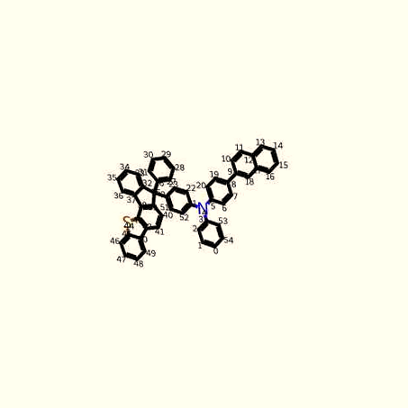 c1ccc(N(c2ccc(-c3ccc4ccccc4c3)cc2)c2ccc(C3(c4ccccc4)c4ccccc4-c4c3ccc3c4sc4ccccc43)cc2)cc1